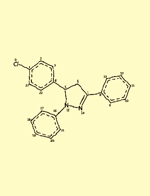 Clc1ccc(C2CC(c3ccccc3)=NN2c2ccccc2)cc1